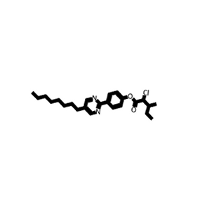 CCCCCCCCc1cnc(-c2ccc(OC(=O)C(Cl)C(C)CC)cc2)nc1